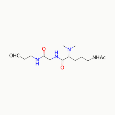 CC(=O)NCCCC(C(=O)NCC(=O)NCCC=O)N(C)C